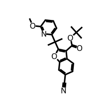 COc1cccc(C(C)(C)c2oc3cc(C#N)ccc3c2C(=O)OC(C)(C)C)n1